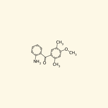 COc1cc(C)c(C(=O)c2ccccc2N)cc1C